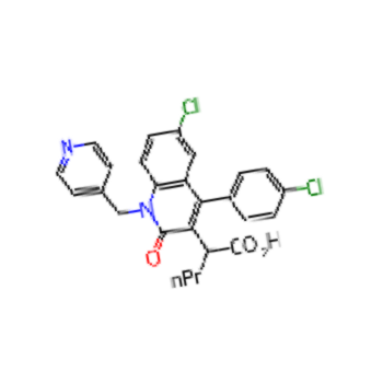 CCCC(C(=O)O)c1c(-c2ccc(Cl)cc2)c2cc(Cl)ccc2n(Cc2ccncc2)c1=O